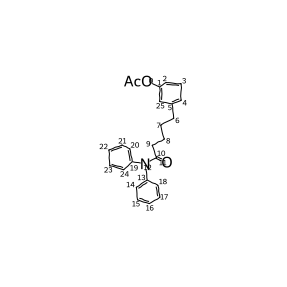 CC(=O)Oc1cccc(CCCCC(=O)N(c2ccccc2)c2ccccc2)c1